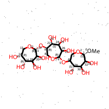 CO[C@H]1OCC(O[C@H]2OC[C@@H](O[C@H]3OC[C@@H](O)[C@@H](O)C(O)C3O)[C@@H](O)C(O)C2O)[C@@H](O)C(O)C1O